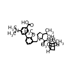 COc1c(CN2CC[C@@H]([C@H](C)O)[C@H]2C(=O)NC2C[C@H]3C[C@@H]([C@@H]2C)C3(C)C)cccc1-c1cc(C(=O)O)cc(N(C)C)c1